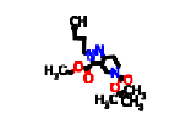 C#CCCCn1nc2c(c1C(=O)OCC)CN(C(=O)OC(C)(C)C)CC2